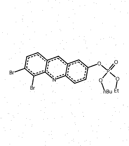 CCCCOP(=O)(OCC)Oc1ccc2nc3c(Br)c(Br)ccc3cc2c1